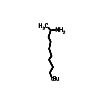 CC(N)CCCCCCCC(C)(C)C